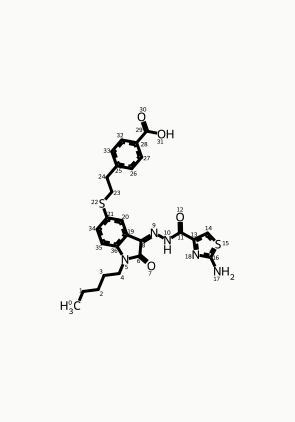 CCCCCN1C(=O)C(=NNC(=O)c2csc(N)n2)c2cc(SCCc3ccc(C(=O)O)cc3)ccc21